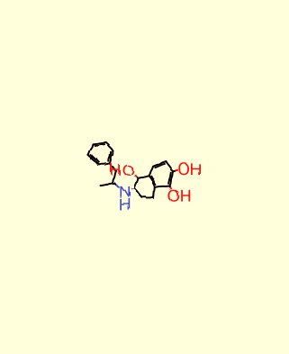 CC(Cc1ccccc1)N[C@H]1CCc2c(ccc(O)c2O)[C@@H]1O